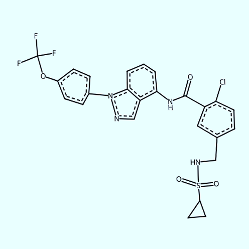 O=C(Nc1cccc2c1cnn2-c1ccc(OC(F)(F)F)cc1)c1cc(CNS(=O)(=O)C2CC2)ccc1Cl